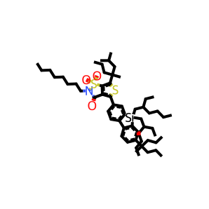 CCCCCCCCN1C(=O)c2c(-c3ccc4c(c3)[Si](CC(CC)CCCC)(CC(CC)CCCC)c3cc(C(C)(CCC)CCC)ccc3-4)sc(C(C)(CCC)CC(C)C)c2S1(=O)=O